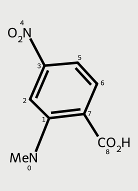 CNc1cc([N+](=O)[O-])ccc1C(=O)O